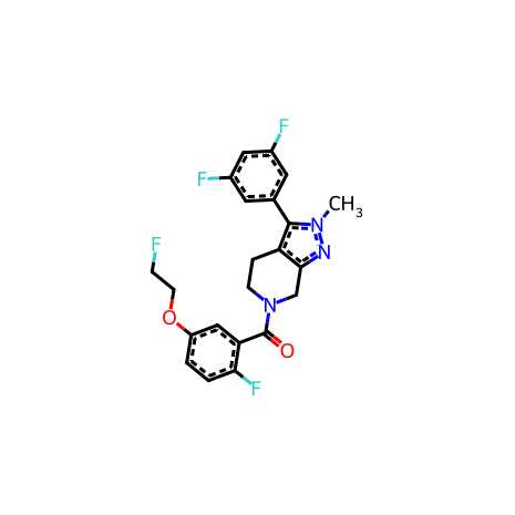 Cn1nc2c(c1-c1cc(F)cc(F)c1)CCN(C(=O)c1cc(OCCF)ccc1F)C2